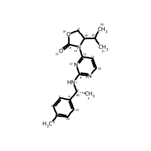 Cc1ccc([C@@H](C)Nc2nccc(N3C(=O)OCC3C(C)C)n2)cc1